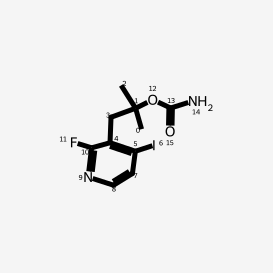 CC(C)(Cc1c(I)ccnc1F)OC(N)=O